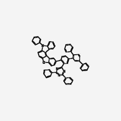 c1ccc(-c2ccc(-c3ccccc3)c(-c3ccc(-c4ccc5oc6ccc7c(c8ccccc8n7-c7ccccc7)c6c5c4)c(-c4nc(-c5ccccc5)nc(-c5ccccc5)n4)c3)c2)cc1